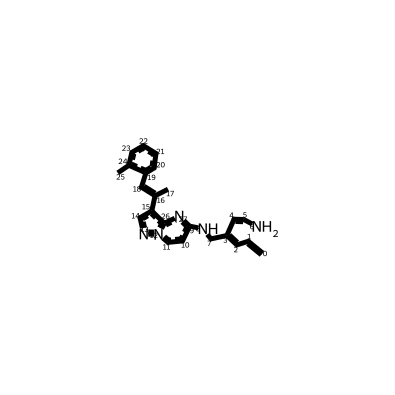 C=C/C=C(\C=C/N)CNc1ccn2ncc(/C(C)=C/c3ccccc3C)c2n1